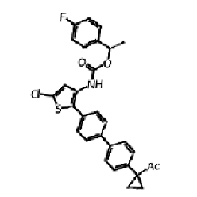 CC(=O)C1(c2ccc(-c3ccc(-c4sc(Cl)cc4NC(=O)O[C@H](C)c4ccc(F)cc4)cc3)cc2)CC1